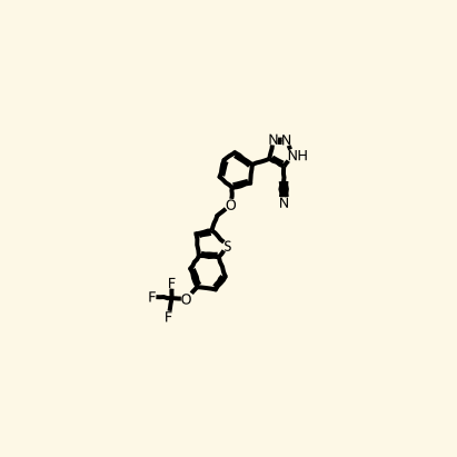 N#Cc1[nH]nnc1-c1cccc(OCc2cc3cc(OC(F)(F)F)ccc3s2)c1